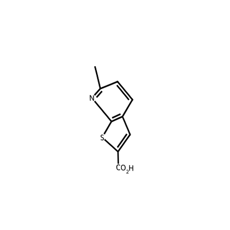 Cc1ccc2cc(C(=O)O)sc2n1